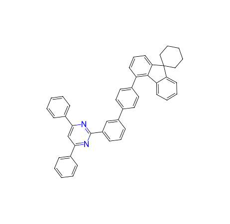 c1ccc(-c2cc(-c3ccccc3)nc(-c3cccc(-c4ccc(-c5cccc6c5-c5ccccc5C65CCCCC5)cc4)c3)n2)cc1